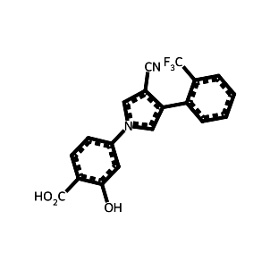 N#Cc1cn(-c2ccc(C(=O)O)c(O)c2)cc1-c1ccccc1C(F)(F)F